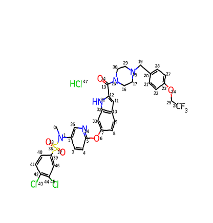 CN(c1ccc(Oc2ccc3cc(C(=O)N4CCN(Cc5ccc(OCC(F)(F)F)cc5)CC4)[nH]c3c2)nc1)S(=O)(=O)c1ccc(Cl)c(Cl)c1.Cl